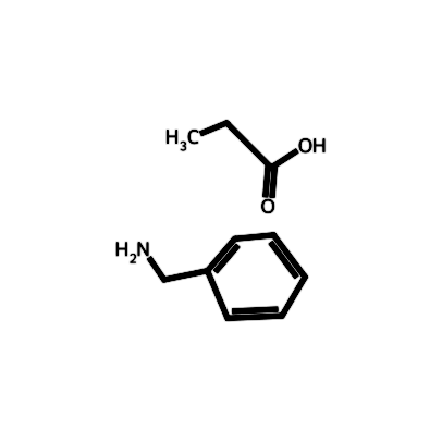 CCC(=O)O.NCc1ccccc1